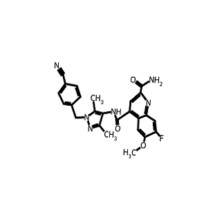 COc1cc2c(C(=O)Nc3c(C)nn(Cc4ccc(C#N)cc4)c3C)cc(C(N)=O)nc2cc1F